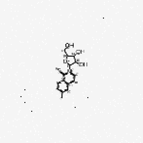 Cc1ccc2c(=S)n(C3OC(CO)C(O)C3O)ccc2c1